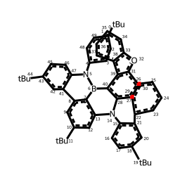 CC(C)(C)c1ccc(N2B3c4c(cc(C(C)(C)C)cc4N(c4ccc(C(C)(C)C)cc4-c4ccccc4)c4ccc5oc6ccccc6c5c43)-c3cc(C(C)(C)C)ccc32)cc1